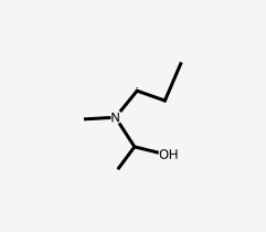 CC[CH]N(C)C(C)O